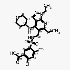 CCc1nc2c(cnn2CC)c(NC2CCOCC2)c1CNS(=O)(=O)c1cc(C(=O)O)c(Cl)cc1F